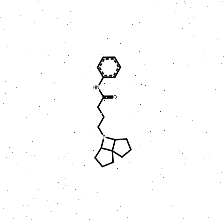 O=C(CCCP1C2CCCC23CCCC13)Nc1ccccc1